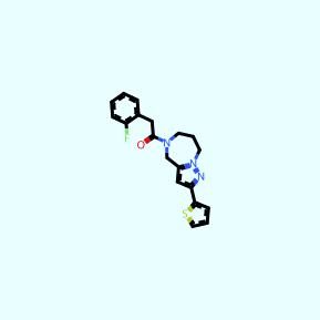 O=C(Cc1ccccc1F)N1CCCn2nc(-c3cccs3)cc2C1